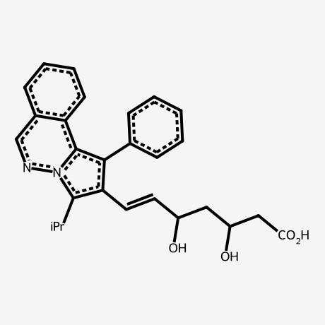 CC(C)c1c(C=CC(O)CC(O)CC(=O)O)c(-c2ccccc2)c2c3ccccc3cnn12